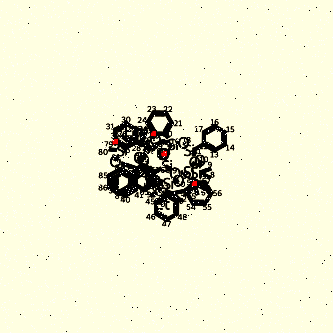 CCC1(C)CC(C)(C)[Si](C)(C)O[Si]2(c3ccccc3)O[Si]3(c4ccccc4)O[Si]4(c5ccccc5)O[Si](c5ccccc5)(O[Si]5(c6ccccc6)O[Si](c6ccccc6)(O2)O[Si](c2ccccc2)(O3)O[Si](C)(C)C(C)(C)C(C)(CC)[Si](C)(C)O[Si](c2ccccc2)(O4)O5)O[Si]1(C)C